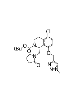 Cn1cc(COc2ccc(Cl)c3c2[C@@H](CN2CCCC2=O)N(C(=O)OC(C)(C)C)CC3)nn1